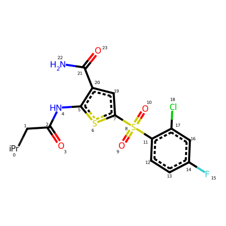 CC(C)CC(=O)Nc1sc(S(=O)(=O)c2ccc(F)cc2Cl)cc1C(N)=O